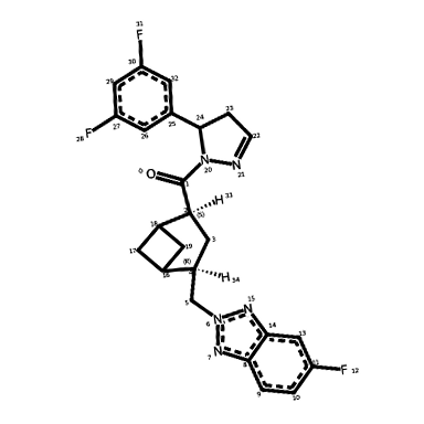 O=C([C@H]1C[C@@H](Cn2nc3ccc(F)cc3n2)C2CC1C2)N1N=CCC1c1cc(F)cc(F)c1